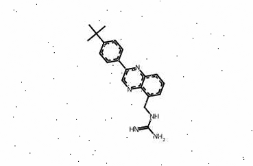 CC(C)(C)c1ccc(-c2cnc3c(CNC(=N)N)cccc3n2)cc1